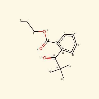 CCCOC(=O)c1ccccc1C(=O)C(C)(C)C